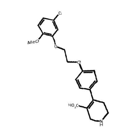 COc1ccc(Cl)cc1OCCOc1ccc(C2=C(C(=O)O)CNCC2)cc1